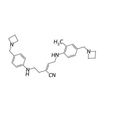 Cc1cc(CN2CCC2)ccc1NC/C=C(\C#N)CCNc1ccc(CN2CCC2)cc1